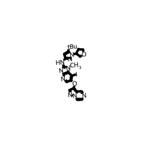 Cn1c(Nc2cc(C(C)(C)C)n(C3CCOC3)n2)nc2ncc(Oc3cnn4ccncc34)c(I)c21